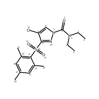 CCN(CC)C(=O)n1cc(Cl)c(S(=O)(=O)c2c(C)cc(C)cc2C)n1